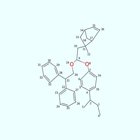 CCC(C)c1ccc(OC(CC2(C)CC3C=CC2C3)OCC(c2ccccc2)c2ccccc2)cc1